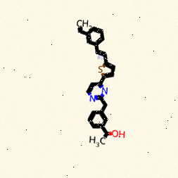 C=Cc1cccc(/C=C/c2ccc(-c3ccnc(Cc4cccc(C(C)O)c4)n3)s2)c1